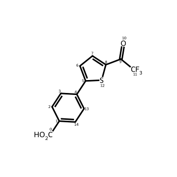 O=C(O)c1ccc(-c2ccc(C(=O)C(F)(F)F)s2)cc1